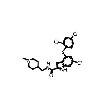 CN1CCC(CNC(=O)c2cc3c(Sc4ccc(Cl)cc4Cl)cc(Cl)cc3[nH]2)CC1